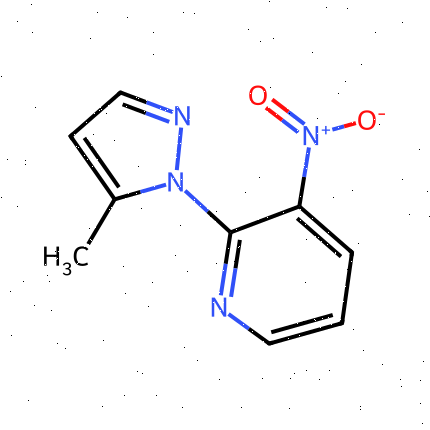 Cc1ccnn1-c1ncccc1[N+](=O)[O-]